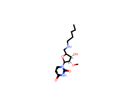 CCCCCNCC1OC(n2ccc(=O)[nH]c2=O)[C@@H](OC)[C@H]1O